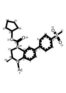 CC(=O)N1c2ccc(-c3ccc(S(C)(=O)=O)cc3)cc2N(C(=O)OC2CCCC2)C[C@@H]1C